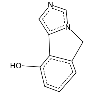 Oc1cccc2c1-c1cncn1C2